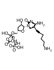 NCCCCC#Cc1cn([C@@H]2O[C@H](COP(=O)(O)OP(=O)(O)OP(=O)(O)O)C[C@H]2O)c(=O)nc1N